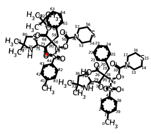 Cc1ccc(S(=O)(=O)N(OC(=O)N2CCSCC2)[C@@](Cc2ccccc2)(C(=O)O)C(=O)[C@H]2NC(C)(C)CS2)cc1.Cc1ccc(S(=O)(=O)N(OC(=O)N2CCSCC2)[C@@](Cc2ccccc2)(C(=O)OC(C)(C)C)C(=O)[C@H]2NC(C)(C)CS2)cc1